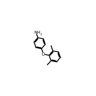 Cc1c[c]cc(C)c1Oc1ccc(N)cc1